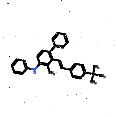 Cc1c(Nc2ccccc2)ccc(-c2ccccc2)c1C=Cc1ccc(C(C)(C)C)cc1